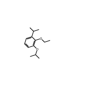 CCOc1c(OC(C)C)cccc1[C](C)C